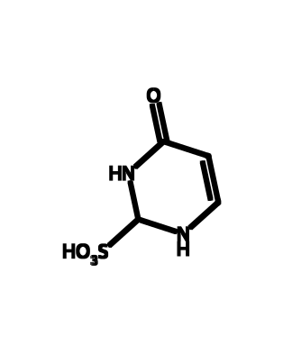 O=C1C=CNC(S(=O)(=O)O)N1